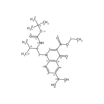 CCOC(=O)c1cn(CC(NC(=O)OC(C)(C)C)C(C)C)c2ncc(B(O)O)cc2c1=O